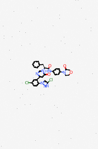 O=C(Nc1ccc(N2CCOCC2=O)cc1)[C@H](Cc1ccccc1)n1cnc(-c2cc(Cl)ccc2-n2cc(Cl)nn2)cc1=O